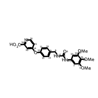 COc1cc(NC(=O)NCc2ccc(Oc3ccnc(C(=O)O)c3)cc2)cc(OC)c1OC